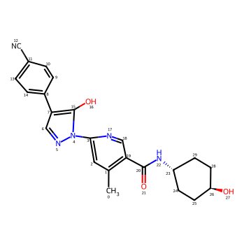 Cc1cc(-n2ncc(-c3ccc(C#N)cc3)c2O)ncc1C(=O)N[C@H]1CC[C@H](O)CC1